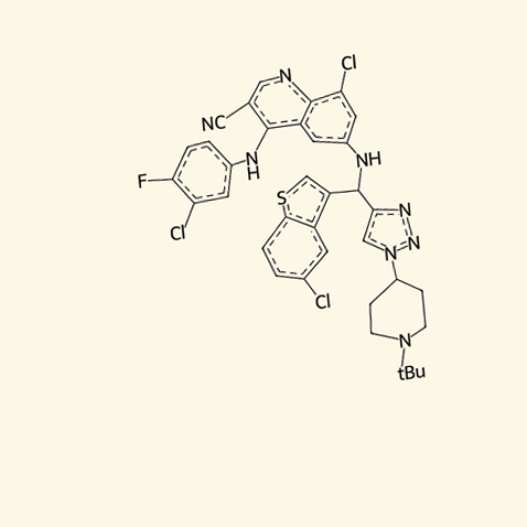 CC(C)(C)N1CCC(n2cc(C(Nc3cc(Cl)c4ncc(C#N)c(Nc5ccc(F)c(Cl)c5)c4c3)c3csc4ccc(Cl)cc34)nn2)CC1